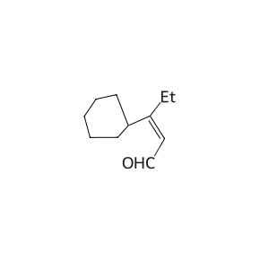 CC/C(=C/C=O)C1CCCCC1